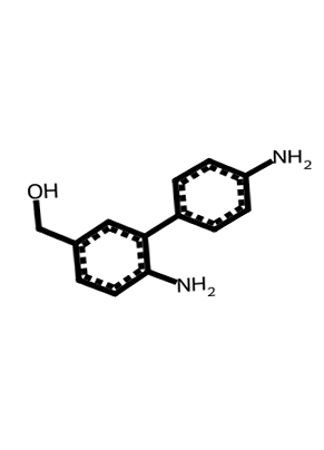 Nc1ccc(-c2cc(CO)ccc2N)cc1